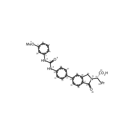 COc1cccc(NC(=O)Nc2ccc(-c3ccc4c(c3)CN([C@H](C(=O)O)C(C)C)C4=O)cc2)c1